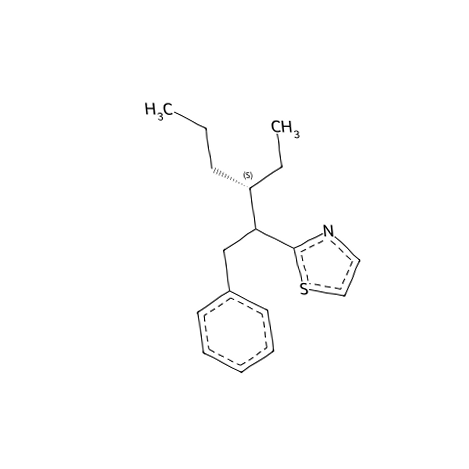 CCC[C@H](CC)C(Cc1ccccc1)c1nccs1